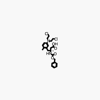 Cc1ccc(N(CCCl)CCCl)cc1C[C@@](C)(CC(=O)O)NC(=O)OCc1ccccc1